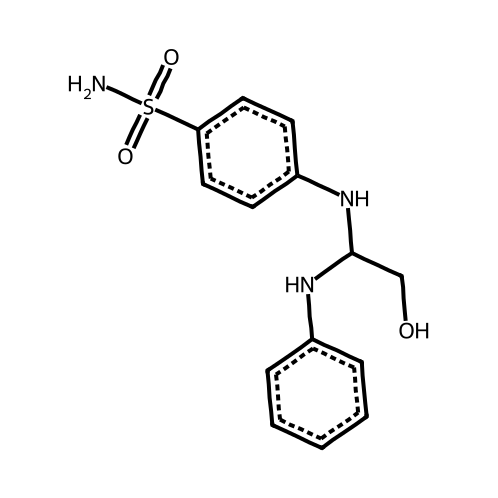 NS(=O)(=O)c1ccc(NC(CO)Nc2ccccc2)cc1